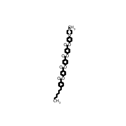 CCCCCCCc1ccc(C(=O)Oc2ccc(C(=O)Oc3ccc(C(=O)Oc4ccc(C(=O)Oc5ccc(N6CCN(C)CC6)cc5)cc4)cc3)cc2)cc1